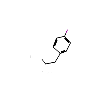 CN[C@@H](Cc1ccc(I)cc1)C(=O)O